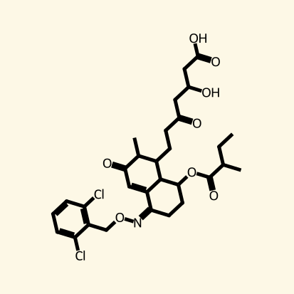 CCC(C)C(=O)OC1CC/C(=N/OCc2c(Cl)cccc2Cl)C2=CC(=O)C(C)C(CCC(=O)CC(O)CC(=O)O)C21